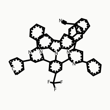 N#Cc1ccccc1-c1ccc2c(c1)c1ccccc1n2-c1c(-c2cc(-c3ccccc3)nc(-c3ccccc3)n2)cc(C(F)(F)F)cc1-c1nc(-c2ccccc2)cc(-c2ccccc2)n1